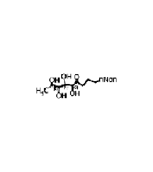 CCCCCCCCCCCCC(=O)[C@@H](O)[C@H](O)[C@H](O)[C@H](C)O